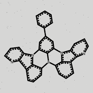 c1ccc(-c2cc3c4c(c2)-n2c5cccnc5c5cccc(c52)B4c2cccc4c5ncccc5n-3c24)cc1